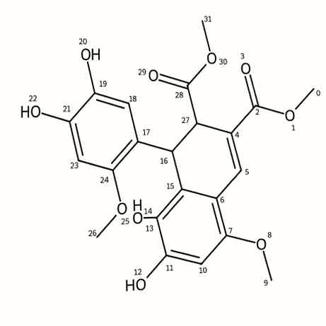 COC(=O)C1=Cc2c(OC)cc(O)c(O)c2C(c2cc(O)c(O)cc2OC)C1C(=O)OC